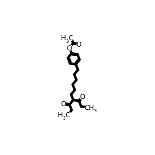 CCC(=O)C(CCCCCCc1ccc(OC(C)=O)cc1)C(=O)CC